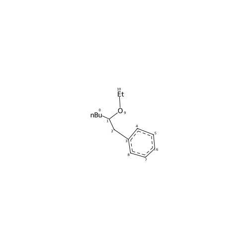 CCCCC(Cc1cc[c]cc1)OCC